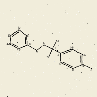 Cc1ccc(C(C)(C)CCc2ccccc2)cc1